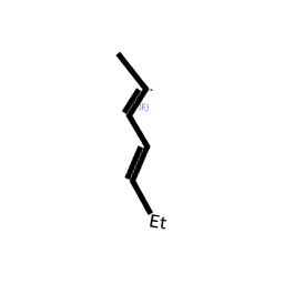 C/[C]=C/C=CCC